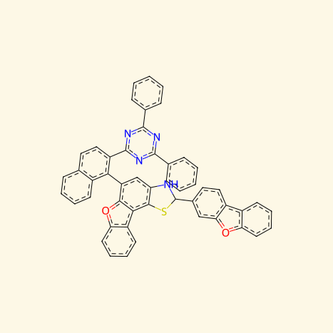 c1ccc(-c2nc(-c3ccccc3)nc(-c3ccc4ccccc4c3-c3cc4c(c5c3oc3ccccc35)SC(c3ccc5c(c3)oc3ccccc35)N4)n2)cc1